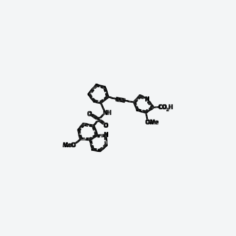 COc1cc(C#Cc2ccccc2NS(=O)(=O)c2ccc(OC)c3cccnc23)cnc1C(=O)O